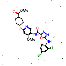 COc1cc(O[C@H]2CC[C@H](C(=O)OC)CC2)ncc1NC(=O)c1nnc(Nc2ccc(Br)cc2Cl)o1